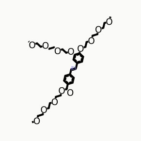 COCCOCCOCCOC(=O)c1ccc(/C=C/c2ccc(OCCOCCOCCOC)c(OCCOCCOCCOC)c2)cc1